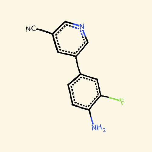 N#Cc1cncc(-c2ccc(N)c(F)c2)c1